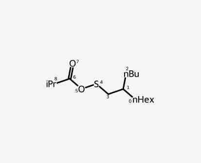 CCCCCCC(CCCC)CSOC(=O)C(C)C